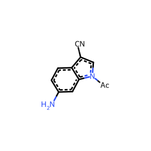 CC(=O)n1cc(C#N)c2ccc(N)cc21